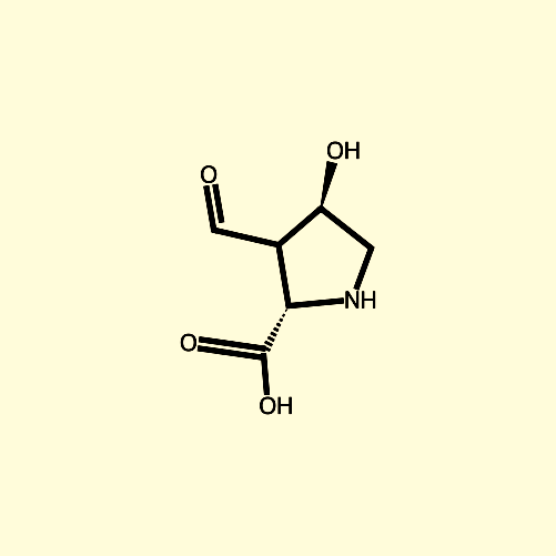 O=CC1[C@@H](C(=O)O)NC[C@@H]1O